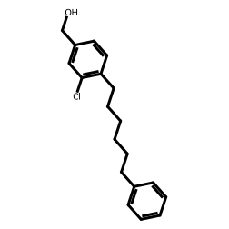 OCc1ccc(CCCCCCc2ccccc2)c(Cl)c1